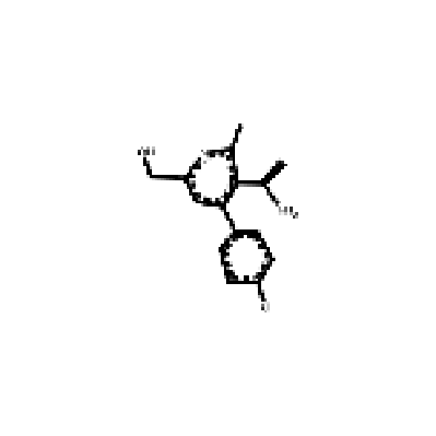 C=C(N)c1c(-c2ccc(Cl)cc2)cc(CO)nc1C